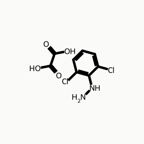 NNc1c(Cl)cccc1Cl.O=C(O)C(=O)O